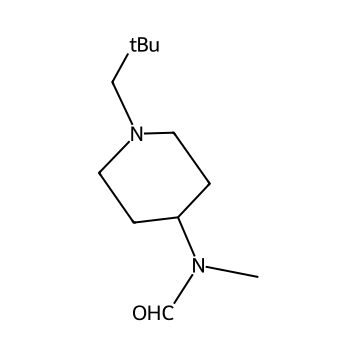 CN(C=O)C1CCN(CC(C)(C)C)CC1